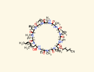 C/C=C/C[C@@H](C)[C@@H](O)[C@H]1C(=O)N[C@@H](CC)C(=O)N(C)CC(=O)N(C)[C@@H]([C@@H](C)OCCCCC#N)C(=O)N[C@@H](C(C)C)C(=O)N(C)[C@@H](CC(C)C)C(=O)N[C@@H](C)C(=O)N[C@H](C)C(=O)N(C)[C@@H](CC(C)C)C(=O)N(C)[C@H](CC(C)C)C(=O)N(C)[C@@H](C(C)C)C(=O)N1C